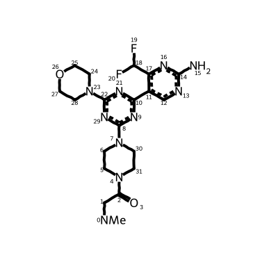 CNCC(=O)N1CCN(c2nc(-c3cnc(N)nc3C(F)F)nc(N3CCOCC3)n2)CC1